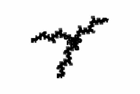 CC(C)CCCC(C)CCCC(C)CCCC(C)CCOCOCC(O)(CC(=O)OCCC(C)CCCC(C)CCCC(C)CCCC(C)C)C(=O)OCCC(C)CCCC(C)CCCC(C)CCCC(C)C